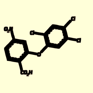 O=C(O)c1ccc([N+](=O)[O-])cc1Oc1cc(Cl)c(Cl)cc1Cl